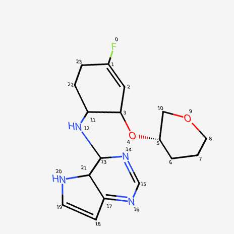 FC1=CC(O[C@H]2CCCOC2)C(NC2N=CN=C3C=CNC32)CC1